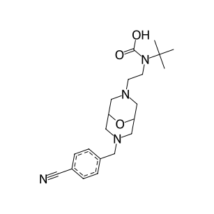 CC(C)(C)N(CCN1CC2CN(Cc3ccc(C#N)cc3)CC(C1)O2)C(=O)O